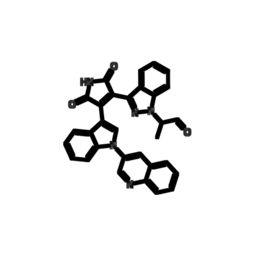 CC(C=O)n1nc(C2=C(c3cn(-c4cnc5ccccc5c4)c4ccccc34)C(=O)NC2=O)c2ccccc21